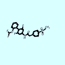 CCS(=O)(=O)c1ccc(CC(=O)Nc2cc(F)c(-c3ccccc3OC(F)F)c(F)c2)cc1